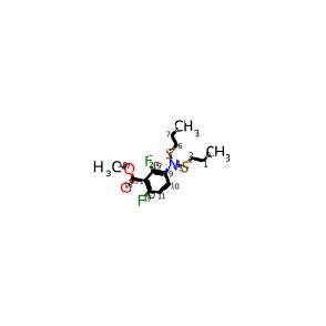 CCCSN(SCCC)c1ccc(F)c(C(=O)OC)c1F